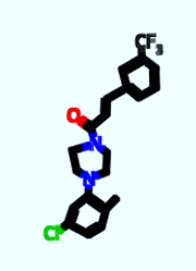 Cc1ccc(Cl)cc1N1CCN(C(=O)C=Cc2cccc(C(F)(F)F)c2)CC1